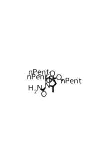 CCCCCO[Si](CC(C)NC(N)=O)(OCCCCC)OCCCCC